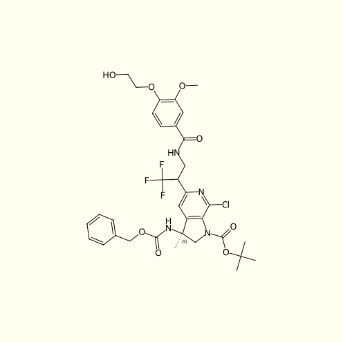 COc1cc(C(=O)NCC(c2cc3c(c(Cl)n2)N(C(=O)OC(C)(C)C)C[C@@]3(C)NC(=O)OCc2ccccc2)C(F)(F)F)ccc1OCCO